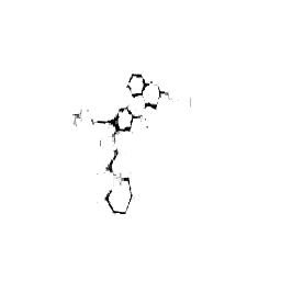 COc1ccc(N(C)C2=CC(O)Oc3ccccc32)cc1OCCN1CCCCC1